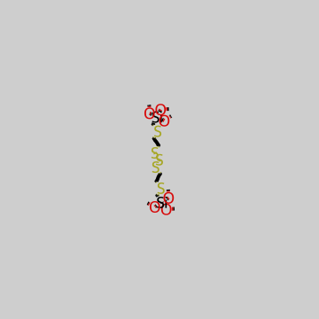 CO[Si](CSCCSSSCCSC[Si](OC)(OC)OC)(OC)OC